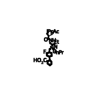 CCCOc1nc(CC)c(CNC(=O)[C@@H](CSC(C)=O)CC(C)C)n1Cc1ccc(-c2ccccc2C(=O)O)cc1F